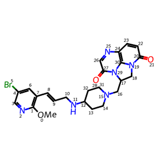 COc1ncc(Br)cc1C=CCNC1CCN(CC2Cn3c(=O)ccc4ncc(=O)n2c43)CC1